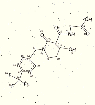 O=C(O)CNC(=O)C1=C(O)CCN(Cc2cnc(C(F)(F)F)nc2)C1=O